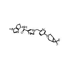 Cn1cnc2c1CC[C@H]2NC(=O)c1cn(Cc2ccc(N3CC4C(C3)C4(F)F)cn2)cn1